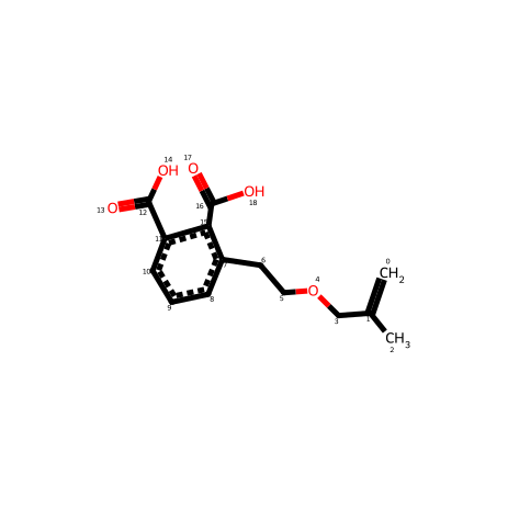 C=C(C)COCCc1cccc(C(=O)O)c1C(=O)O